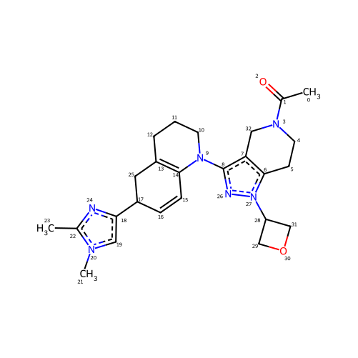 CC(=O)N1CCc2c(c(N3CCCC4=C3C=CC(c3cn(C)c(C)n3)C4)nn2C2COC2)C1